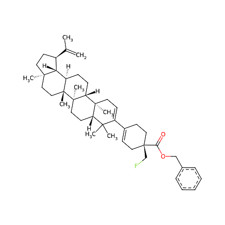 C=C(C)[C@@H]1CC[C@]2(C)CC[C@]3(C)[C@H](CC[C@@H]4[C@@]5(C)CC=C(C6=CC[C@@](CF)(C(=O)OCc7ccccc7)CC6)C(C)(C)[C@@H]5CC[C@]43C)[C@@H]12